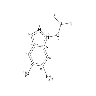 CC(C)On1ncc2cc(O)c(N)cc21